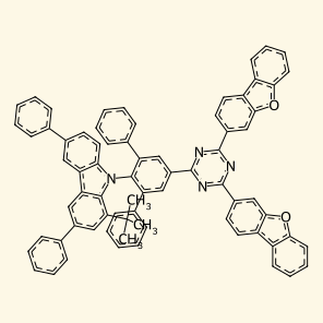 CC(C)(C)c1cc(-c2ccccc2)cc2c3cc(-c4ccccc4)ccc3n(-c3c(-c4ccccc4)cc(-c4nc(-c5ccc6c(c5)oc5ccccc56)nc(-c5ccc6c(c5)oc5ccccc56)n4)cc3-c3ccccc3)c12